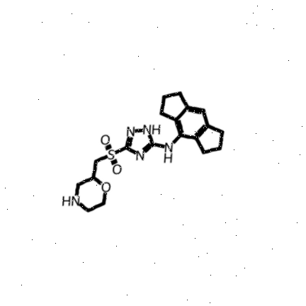 O=S(=O)(CC1CNCCO1)c1n[nH]c(Nc2c3c(cc4c2CCC4)CCC3)n1